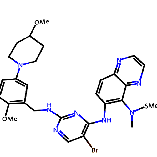 COc1ccc(N2CCC(OC)CC2)cc1CNc1ncc(Br)c(Nc2ccc3nccnc3c2N(C)SC)n1